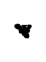 CN(C)/C=C(\C#N)C(=O)c1cc2c(CN3CCOCC3)cccc2n1S(=O)(=O)c1ccccc1